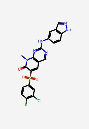 Cn1c(=O)c(S(=O)(=O)c2ccc(F)c(Cl)c2)cc2cnc(Nc3ccc4[nH]ncc4c3)nc21